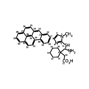 Cn1ccnc1S.NCC1(CC(=O)O)CCCCC1.c1ccc2c(c1)cc1ccc3cccc4ccc2c1c34